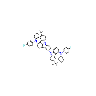 CC(C)(C)c1ccc2c(c1)c1c(N(c3ccccc3)c3ccc(F)cc3)ccc3c4cc5c(cc4n2c31)c1ccc(N(c2ccccc2)c2ccc(F)cc2)c2c3cc(C(C)(C)C)ccc3n5c12